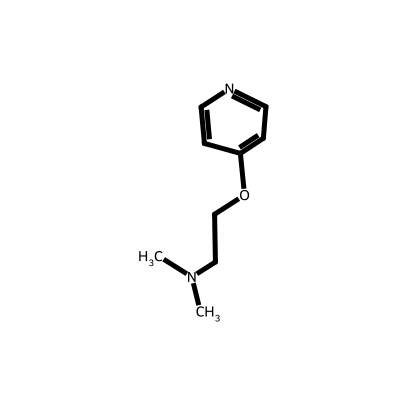 CN(C)CCOc1ccncc1